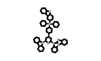 c1ccc([Si](c2ccccc2)(c2ccc(-c3cc(-n4c5ccccc5c5ccccc54)nc(-n4c5ccccc5n5c6ccccc6nc45)c3)cc2)c2ccc3oc4ccccc4c3c2)cc1